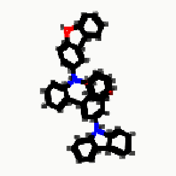 c1ccc(N(c2ccc3oc4ccccc4c3c2)c2ccccc2-c2cc(-n3c4ccccc4c4ccccc43)cc3ccccc23)cc1